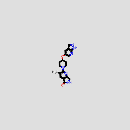 Cc1cc2c(nc1N1CCC(Oc3cnc4[nH]ncc4c3)CC1)CNC2=O